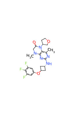 Cc1nc(N[C@H]2C[C@H](Oc3cc(F)c(F)c(F)c3)C2)nc2c1N(C1CCOC1)C(=O)CN2C